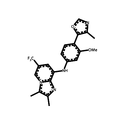 COc1cc(Nc2cc(C(F)(F)F)cn3c(C)c(C)nc23)ccc1-c1ocnc1C